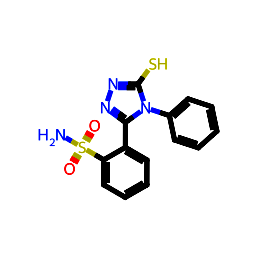 NS(=O)(=O)c1ccccc1-c1nnc(S)n1-c1ccccc1